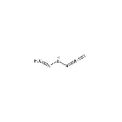 C=NBN=[N+]=[N-]